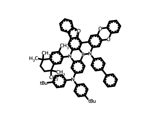 Cc1cc2c(cc1N1c3cc(N(c4ccc(C(C)(C)C)cc4)c4ccc(C(C)(C)C)cc4)ccc3B3c4c1cc1c(oc5ccccc51)c4-c1cc4c(cc1N3c1ccc(-c3ccccc3)cc1)Oc1ccccc1O4)C(C)(C)CCC2(C)C